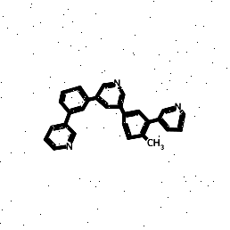 Cc1ccc(-c2cncc(-c3cccc(-c4cccnc4)c3)c2)cc1-c1cccnc1